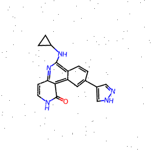 O=c1[nH]ccc2nc(NC3CC3)c3ccc(-c4cn[nH]c4)cc3c12